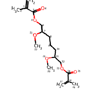 C=C(C)C(=O)OCC(CCCC(COC(=O)C(=C)C)OC)OC